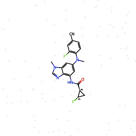 CN(c1cc(NC(=O)[C@H]2C[C@H]2F)c2ncn(C)c2c1)c1ccc(C#N)cc1F